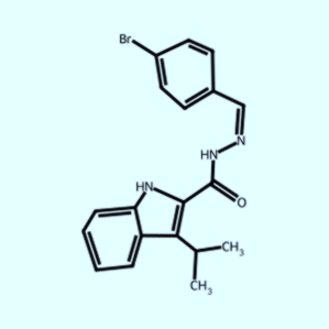 CC(C)c1c(C(=O)N/N=C\c2ccc(Br)cc2)[nH]c2ccccc12